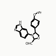 CCCOc1ccc(C2COC(C=O)N2c2ccc3nc[nH]c3c2)cc1